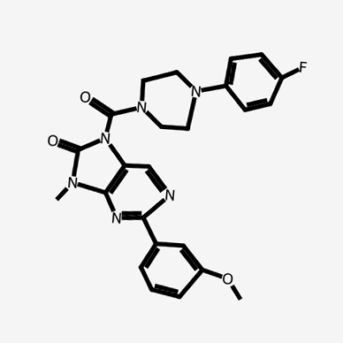 COc1cccc(-c2ncc3c(n2)n(C)c(=O)n3C(=O)N2CCN(c3ccc(F)cc3)CC2)c1